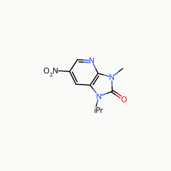 CC(C)n1c(=O)n(C)c2ncc([N+](=O)[O-])cc21